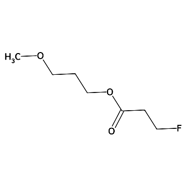 COCCCOC(=O)CCF